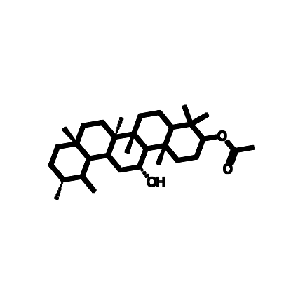 CC(=O)OC1CC[C@@]2(C)C(CC[C@]3(C)C2[C@H](O)CC2C4C(C)[C@H](C)CC[C@]4(C)CC[C@]23C)C1(C)C